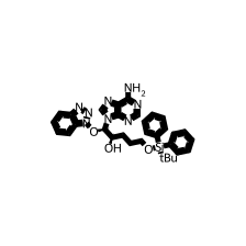 CC(C)(C)[Si](OCCC[C@@H](O)[C@@H](On1nnc2ccccc21)n1cnc2c(N)ncnc21)(c1ccccc1)c1ccccc1